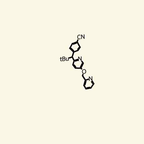 CC(C)(C)C(c1ccc(C#N)cc1)c1ccc(OCc2ccccn2)cn1